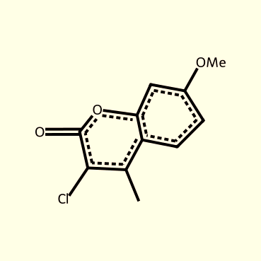 COc1ccc2c(C)c(Cl)c(=O)oc2c1